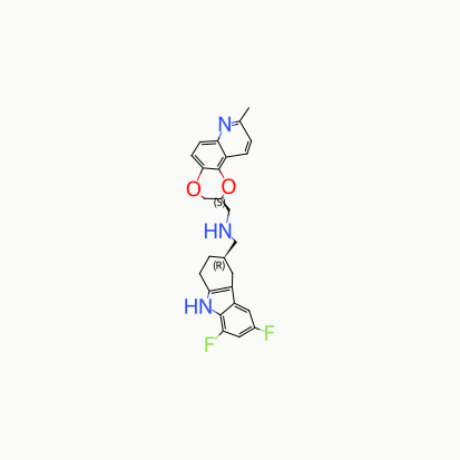 Cc1ccc2c3c(ccc2n1)OC[C@H](CNC[C@@H]1CCc2[nH]c4c(F)cc(F)cc4c2C1)O3